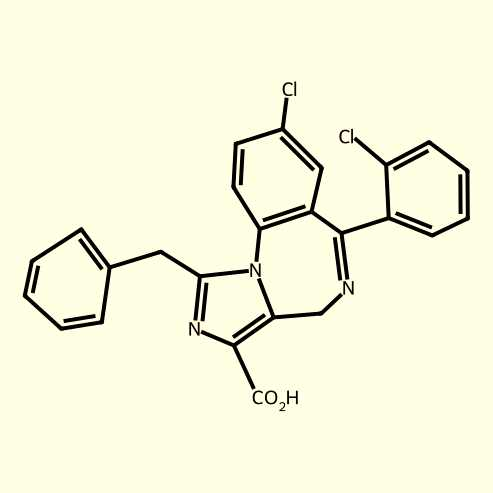 O=C(O)c1nc(Cc2ccccc2)n2c1CN=C(c1ccccc1Cl)c1cc(Cl)ccc1-2